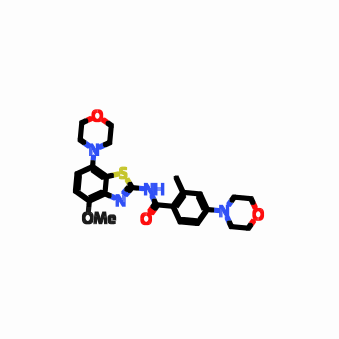 COc1ccc(N2CCOCC2)c2sc(NC(=O)c3ccc(N4CCOCC4)cc3C)nc12